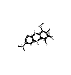 COc1c2nc3ccc(N(C)C)cc3sc-2c(C)c(=O)c1C